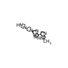 Cc1cc2nccc(-c3cnn4cc(N5CCC(N6CCNCC6)CC5)cnc34)c2[nH]1